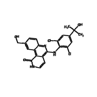 CC(C)(O)c1cc(Cl)c(Nc2nc3ccc(CO)cc3c3c(=O)[nH]ccc23)c(Cl)c1